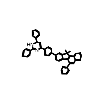 CC1(C)c2cc(-c3ccc(C4=CC(c5ccccc5)NC(c5ccccc5)=N4)cc3)ccc2-c2c(-c3ccccc3)cc3ccccc3c21